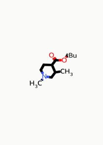 CC1CN(C)CCC1C(=O)OC(C)(C)C